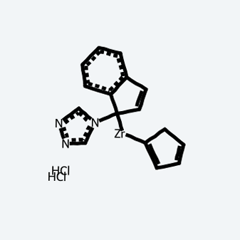 C1=CC[C]([Zr][C]2(n3cnnc3)C=Cc3ccccc32)=C1.Cl.Cl